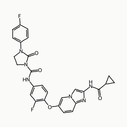 O=C(Nc1cn2cc(Oc3ccc(NC(=O)N4CCN(c5ccc(F)cc5)C4=O)cc3F)ccc2n1)C1CC1